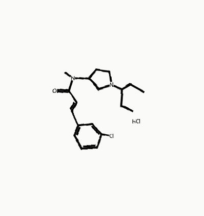 CCC(CC)N1CCC(N(C)C(=O)/C=C/c2cccc(Cl)c2)C1.Cl